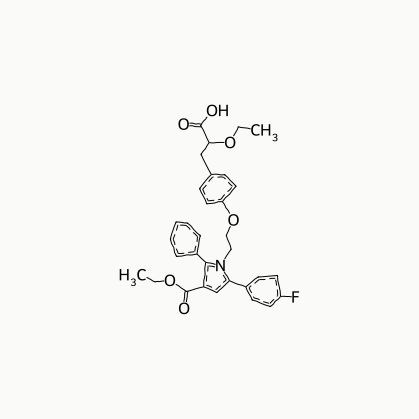 CCOC(=O)c1cc(-c2ccc(F)cc2)n(CCOc2ccc(CC(OCC)C(=O)O)cc2)c1-c1ccccc1